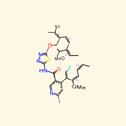 C/C=C\C=C(\OC)C(=CF)c1cc(C)ncc1C(=O)Nc1nnc(OCC(/C=C\C(=C/C)C(C)OC)=C(\C)CC)s1